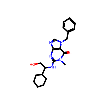 Cn1c(NC(CO)C2CCCCC2)nc2ncn(Cc3ccccc3)c2c1=O